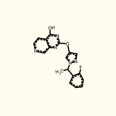 CC(c1ccccc1F)n1cc(Oc2nc(O)c3ccncc3n2)cn1